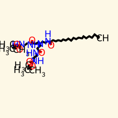 C#CCCCCCCCCCCCCCCCCCC(=O)NCCN(CCC(=O)NCCNC(=O)OC(C)(C)C)CCC(=O)NCCNC(=O)OC(C)(C)C